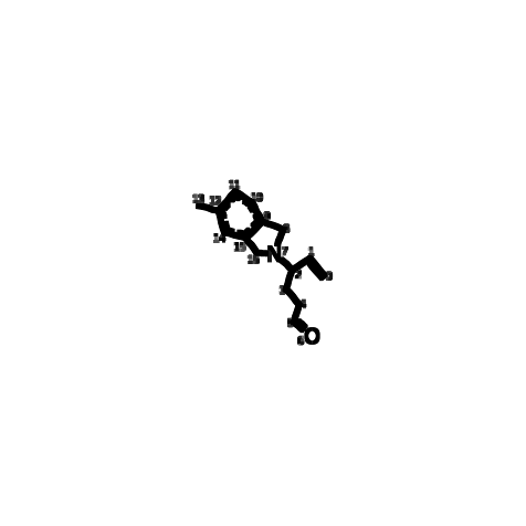 C=CC(CCC=O)N1Cc2ccc(C)cc2C1